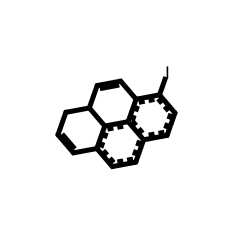 Ic1ccc2ccc3c4c2c1C=CC4CC=C3